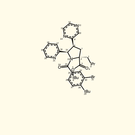 CC(C)C[C@@]1(C(=O)OC(C)(C)C)C[C@H](c2cnccn2)[C@H](c2ccccn2)N1C(=O)c1ccc(C(C)(C)C)c(Br)c1